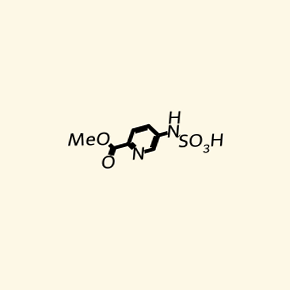 COC(=O)c1ccc(NS(=O)(=O)O)cn1